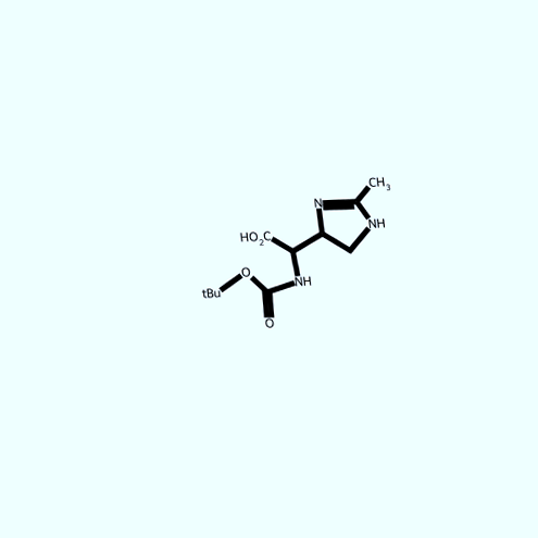 CC1=NC(C(NC(=O)OC(C)(C)C)C(=O)O)CN1